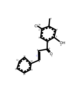 Cc1cc(O)c(C(=O)/C=C/c2ccccc2)cc1Cl